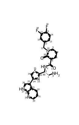 NC[C@@H](NC(=O)c1cccn(Cc2ccc(F)c(F)c2)c1=O)c1nc(-c2c[nH]c3ncccc23)cs1